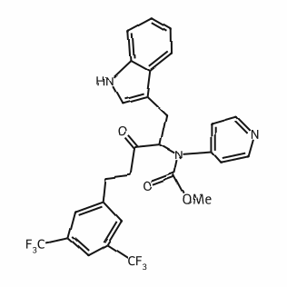 COC(=O)N(c1ccncc1)C(Cc1c[nH]c2ccccc12)C(=O)CCc1cc(C(F)(F)F)cc(C(F)(F)F)c1